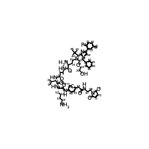 CC(C)[C@H](NC(=O)CCNC(=O)[C@@H](N)CCN(COCCO)[C@@H](c1nc(-c2cc(F)ccc2F)cn1Cc1ccccc1)C(C)(C)C)C(=O)N[C@@H](CCCCN)C(=O)Nc1ccc(CC(=O)NCCN2C(=O)C=CC2=O)cc1